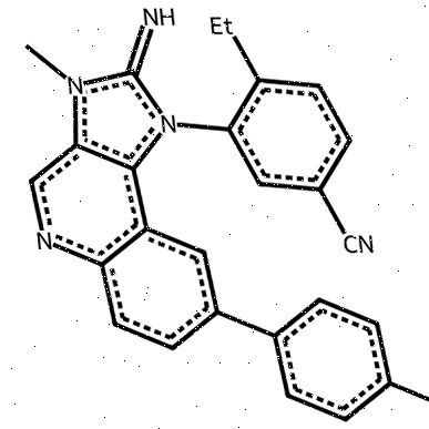 CCc1ccc(C#N)cc1-n1c(=N)n(C)c2cnc3ccc(-c4ccc(Cl)cc4)cc3c21